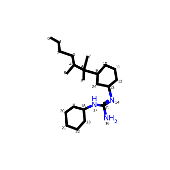 CCCCC(C)C(C)(C)C1CCCC(N=C(N)NC2CCCCC2)C1